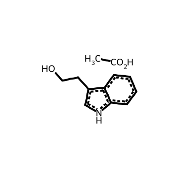 CC(=O)O.OCCc1c[nH]c2ccccc12